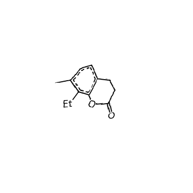 CCc1c(C)ccc2c1OC(=O)CC2